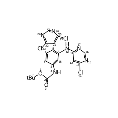 CC(C)(C)OC(=O)Nc1cccc(Nc2cc(Cl)ncn2)c1.Clc1cc(Cl)ncn1